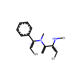 C=C(/C(=C\CC)NCC)N(C)/C(=C\CCC)c1ccccc1